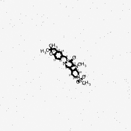 Cn1c2c(c3cnn(Cc4ccc5c(c4)CC(C)(C)O5)c(=O)c31)CCN(S(C)(=O)=O)C2